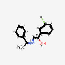 CC(NC[C@H](O)c1cccc(F)c1)c1ccccc1